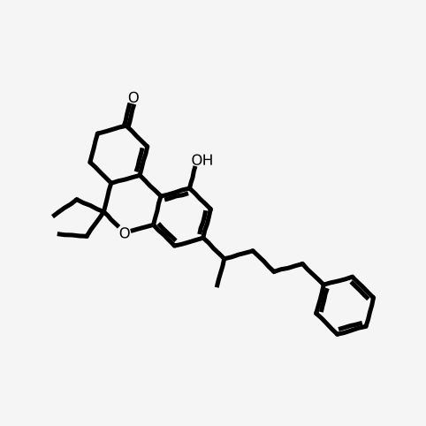 CCC1(CC)Oc2cc(C(C)CCCc3ccccc3)cc(O)c2C2=CC(=O)CCC21